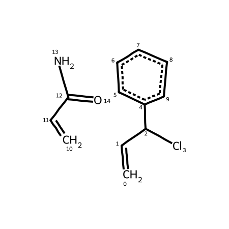 C=CC(Cl)c1ccccc1.C=CC(N)=O